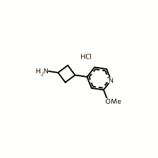 COc1cc(C2CC(N)C2)ccn1.Cl